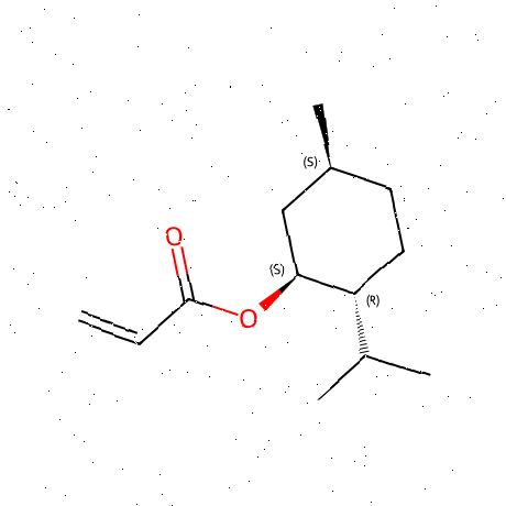 C=CC(=O)O[C@H]1C[C@@H](C)CC[C@@H]1C(C)C